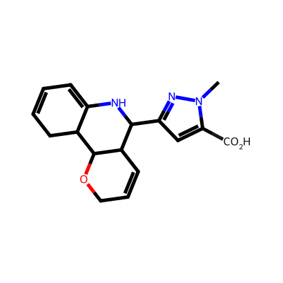 Cn1nc(C2NC3=CC=CCC3C3OCC=CC23)cc1C(=O)O